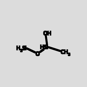 C[SiH](O)O[SiH3]